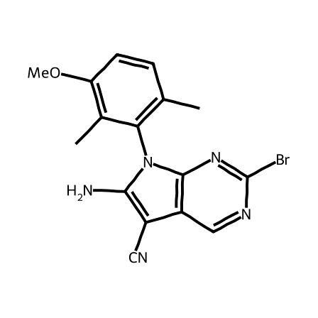 COc1ccc(C)c(-n2c(N)c(C#N)c3cnc(Br)nc32)c1C